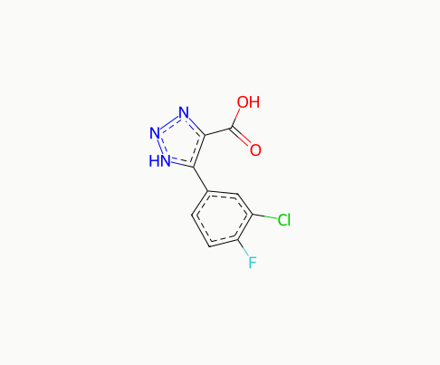 O=C(O)c1nn[nH]c1-c1ccc(F)c(Cl)c1